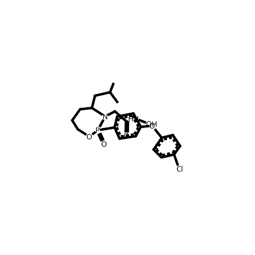 CC(C)CC1CCCOP(=O)(c2ccc(Oc3ccc(Cl)cc3)cc2)N1CC(=O)NO